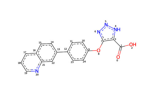 O=C(O)c1[nH]nnc1Oc1ccc(-c2ccc3cccnc3c2)cc1